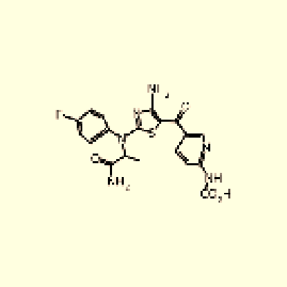 CC(C(N)=O)N(c1ccc(F)cc1)c1nc(N)c(C(=O)c2ccc(NC(=O)O)nc2)s1